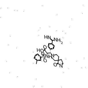 Cc1cccc(S(=O)(=O)N[C@@H](C(=O)O)[C@H](c2ccc(C(=N)N)cc2)N2CCC3(CC=NC3=O)CC2)c1